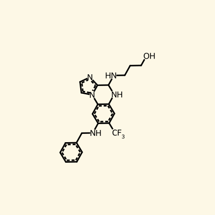 OCCCNC1Nc2cc(C(F)(F)F)c(NCc3ccccc3)cc2-n2ccnc21